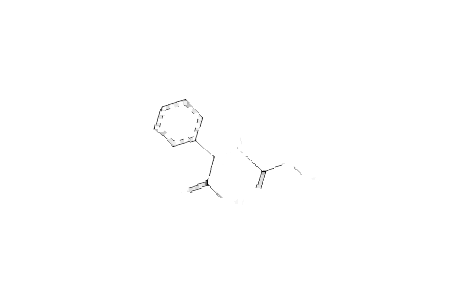 CC(C)(C)OC(=O)N[C@H](C(=O)C(C)(C)C)c1ccccc1